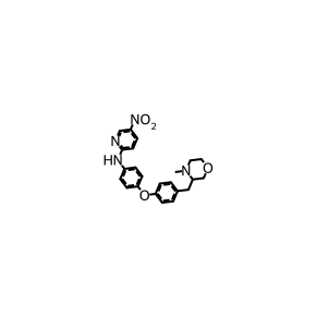 CN1CCOCC1Cc1ccc(Oc2ccc(Nc3ccc([N+](=O)[O-])cn3)cc2)cc1